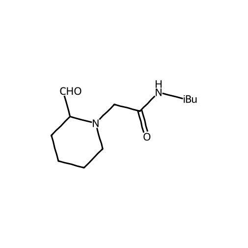 CCC(C)NC(=O)CN1CCCCC1C=O